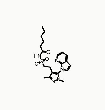 CCCCCC(=O)NS(=O)(=O)CCc1c(C)nn(C)c1-n1ccc2cccnc21